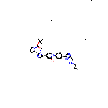 CCCNCc1ncc(-c2ccc(-n3ccc(-c4cnc([C@@H]5CCCN5C(=O)OC(C)(C)C)[nH]4)cc3=O)cc2)[nH]1